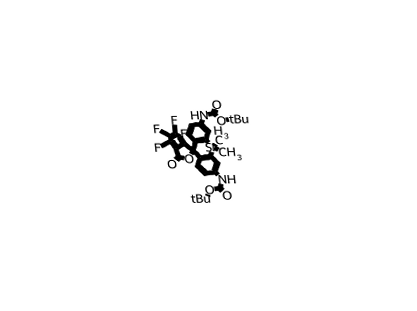 CC(C)(C)OC(=O)Nc1ccc2c(c1)[Si](C)(C)c1cc(NC(=O)OC(C)(C)C)ccc1C21OC(=O)c2c(F)c(F)c(F)c(F)c21